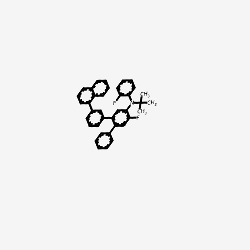 CC(C)(C)N(c1ccccc1F)c1cc(-c2cccc(-c3cccc4ccccc34)c2)c(-c2ccccc2)cc1F